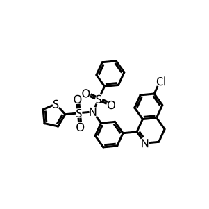 O=S(=O)(c1ccccc1)N(c1cccc(C2=NCCc3cc(Cl)ccc32)c1)S(=O)(=O)c1cccs1